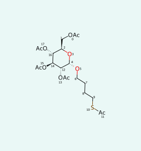 CC(=O)OC[C@H]1O[C@H](OCCCCSC(C)=O)[C@H](OC(C)=O)[C@@H](OC(C)=O)[C@@H]1OC(C)=O